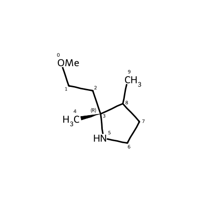 COCC[C@@]1(C)NCCC1C